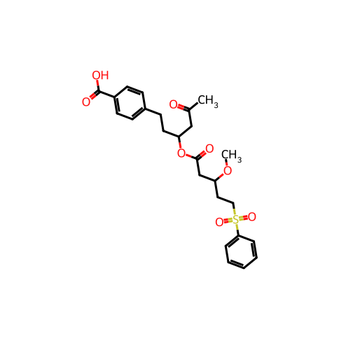 COC(CCS(=O)(=O)c1ccccc1)CC(=O)OC(CCc1ccc(C(=O)O)cc1)CC(C)=O